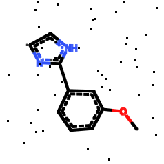 COc1cccc(-c2n[c]c[nH]2)c1